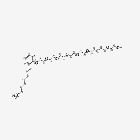 CCCCCCCCc1ccccc1OCCOCCOCCOCCOCCOCCOCCOCCO